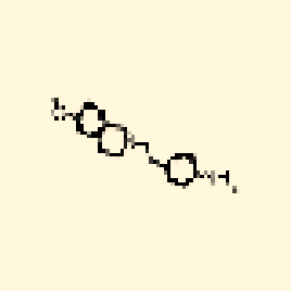 COc1ccc2c(c1)CCN(CCc1ccc(N)cc1)C2